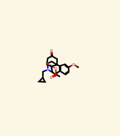 COc1ccc2c(c1)C13CCN(CC4CC4)C(C2)[C@]1(OC(C)=O)CCC(=O)C3